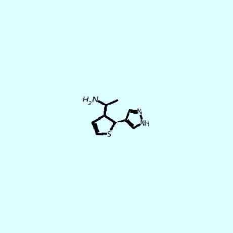 CC(N)C1C=CS[C@@H]1c1cn[nH]c1